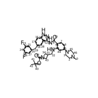 CN1CCN(c2ccc(C(=O)Nc3n[nH]c4ccc(Cc5cc(F)cc(F)c5)cc34)c(NCC3CN(C(=O)OC(C)(C)C)C3)c2)CC1